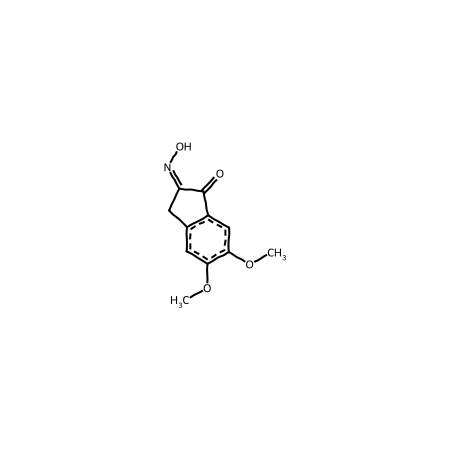 COc1cc2c(cc1OC)C(=O)C(=NO)C2